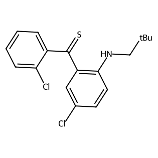 CC(C)(C)CNc1ccc(Cl)cc1C(=S)c1ccccc1Cl